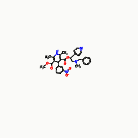 COC(=O)C1=C(C)NC(C)=C(C(=O)OC(CN(C)Cc2ccccc2)c2ccncc2)C1c1cccc([N+](=O)[O-])c1